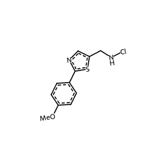 COc1ccc(-c2ncc(CNCl)s2)cc1